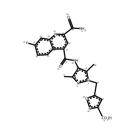 CCOC(=O)c1cc(Cn2nc(C)c(NC(=O)c3cc(C(N)=O)nc4cc(F)ccc34)c2C)on1